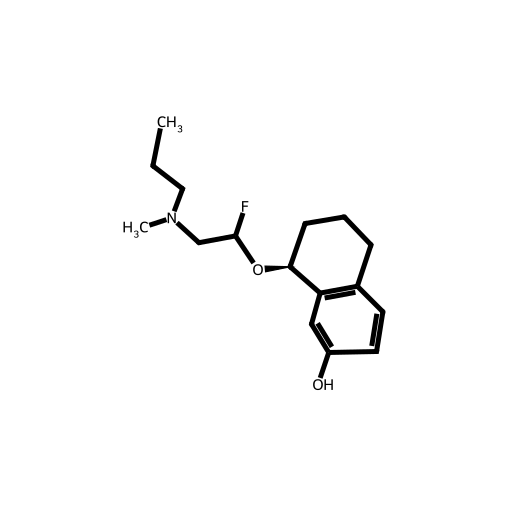 CCCN(C)CC(F)O[C@H]1CCCc2ccc(O)cc21